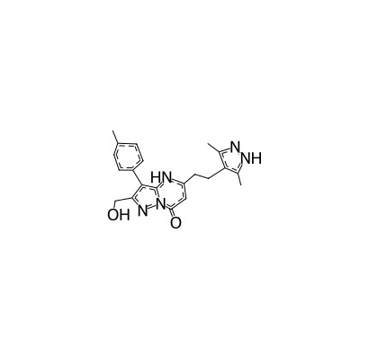 Cc1ccc(-c2c(CO)nn3c(=O)cc(CCc4c(C)n[nH]c4C)[nH]c23)cc1